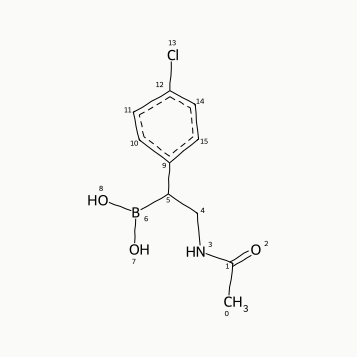 CC(=O)NCC(B(O)O)c1ccc(Cl)cc1